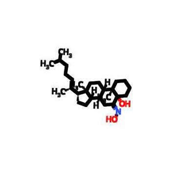 CC(C)CCC[C@@H](C)[C@H]1CC[C@H]2[C@@H]3CC(=NO)C4(O)CCCC[C@]4(C)[C@H]3CC[C@]12C